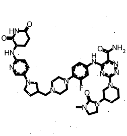 CN1CCN(C2CCCN(c3nnc(C(N)=O)c(Nc4ccc(N5CCN(CC6CCN(c7ccc(NC8CCC(=O)NC8=O)nc7)C6)CC5)c(F)c4)n3)C2)C1=O